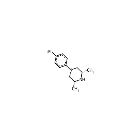 CC(C)c1ccc(N2C[C@@H](C)N[C@@H](C)C2)cc1